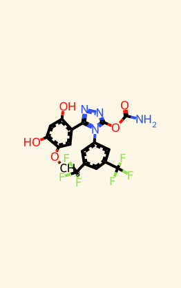 COc1cc(-c2nnc(OC(N)=O)n2-c2cc(C(F)(F)F)cc(C(F)(F)F)c2)c(O)cc1O